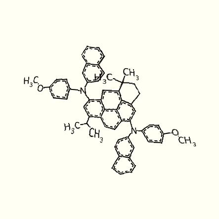 COc1ccc(N(c2ccc3ccccc3c2)c2cc(C(C)C)c3ccc4c(N(c5ccc(OC)cc5)c5ccc6ccccc6c5)cc5c6c(cc2c3c46)C(C)(C)CC5)cc1